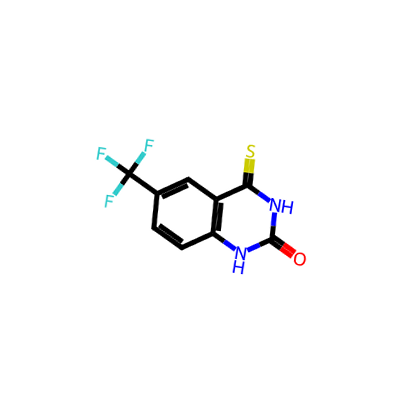 O=c1[nH]c(=S)c2cc(C(F)(F)F)ccc2[nH]1